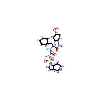 COc1ccc(N(C)C(=O)C(Cc2ccccc2)NC(=O)NS(=O)(=O)n2ccc3cnccc32)cc1